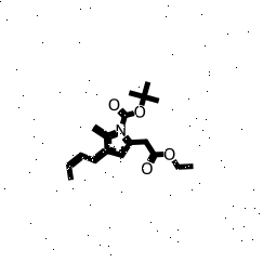 C=c1/c(=C\C=C/C)cc(CC(=O)OCC)n1C(=O)OC(C)(C)C